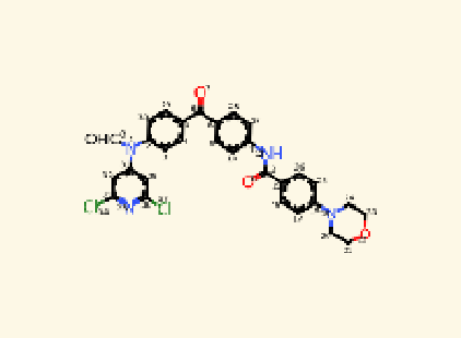 O=CN(c1ccc(C(=O)c2ccc(NC(=O)c3ccc(N4CCOCC4)cc3)cc2)cc1)c1cc(Cl)nc(Cl)c1